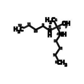 CCCCNC(C)(O)NCCCC